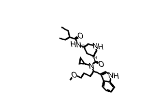 CCC(CC)C(=O)N[C@H]1CNC[C@@H](C(=O)N(C2CC2)C(CCCOC)c2c[nH]c3ccccc23)C1